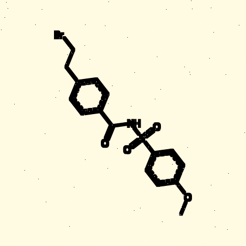 COc1ccc(S(=O)(=O)NC(=O)c2ccc(CCBr)cc2)cc1